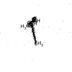 CCCCCCCCCCCCCCCCCC(=O)NC(Cc1c[nH]c2ccccc12)C(=O)OC